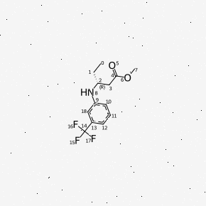 CC[C@H](CC(=O)OC)Nc1cccc(C(F)(F)F)c1